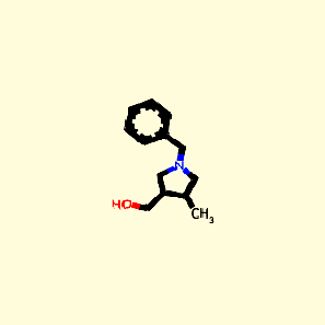 CC1CN(Cc2ccccc2)CC1CO